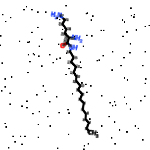 CCCCCCCCCCCCCCCCCCNC(=O)C(N)CCCCN